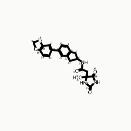 CC1(CC(=O)NC2Cc3ccc(-c4ccc5c(c4)OCO5)cc3C2)NC(=O)NC1=O